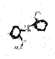 COc1ccccc1NNc1ccccc1OC